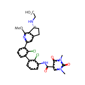 COc1nc(-c2cccc(-c3cccc(NC(=O)c4cn(C)c(=O)n(C)c4=O)c3Cl)c2Cl)cc2c1[C@H](NCC(=O)O)CC2